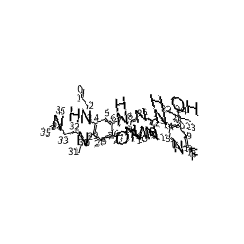 C=CCNc1cc(Nc2ncnc(Nc3cnc(F)cc3C(C)(C)O)n2)c(OC)cc1N(C)CCN(C)C